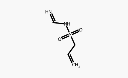 C=CCS(=O)(=O)N[C]=N